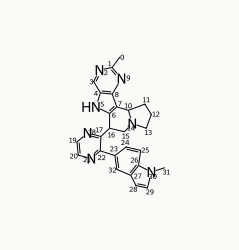 Cc1ncc2[nH]c3c(c2n1)C1CCCN1CC3c1nccnc1-c1ccc2c(ccn2C)c1